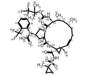 C[C@@H]1CCC=C[C@@H]2C[C@@]2(C(=O)NS(=O)(=O)C2(C)CC2)NC(=O)[C@@H]2C[C@@H](N(C(=O)O)c3ccccc3C(F)(F)F)CN2C(=O)[C@@H](NC(=O)OC(C)(C)C(F)(F)F)[C@H](C)C1